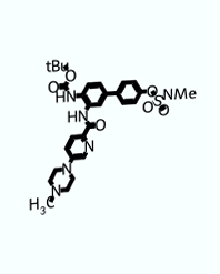 CNS(=O)(=O)Oc1ccc(-c2ccc(NC(=O)OC(C)(C)C)c(NC(=O)c3ccc(N4CCN(C)CC4)cn3)c2)cc1